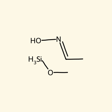 CC=NO.CO[SiH3]